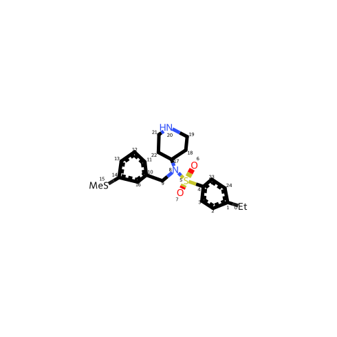 CCc1ccc(S(=O)(=O)N(Cc2cccc(SC)c2)C2CCNCC2)cc1